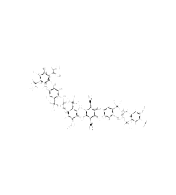 COc1cc2c(cc1OC)C(C)(C)OC1(C2)Cc2cc3c(cc2C(C)(C)O1)Oc1c(C#N)c(C)c(Oc2cc4c(cc2OC)CC2(Cc5cc6c(cc5C(C)(C)O2)Oc2c(c(C(=O)O)c(C)c(C)c2C(=O)O)O6)OC4(C)C)c(C#N)c1O3